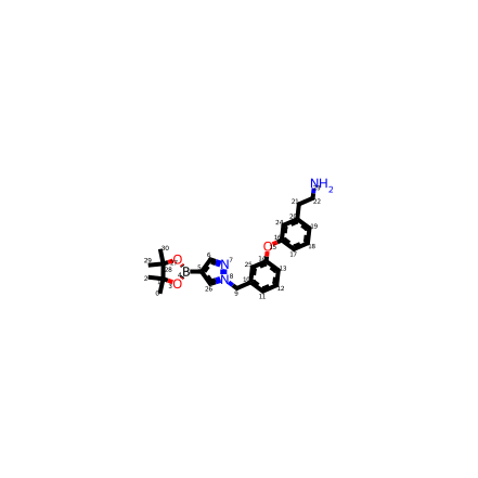 CC1(C)OB(c2cnn(Cc3cccc(Oc4cccc(CCN)c4)c3)c2)OC1(C)C